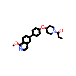 CCC(=O)N1CCC(Oc2ccc(-c3ccc4c(OC)nccc4c3)cc2)CC1